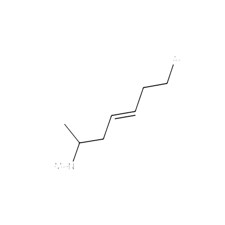 CNC(C)C/C=C/CCC(C)=O